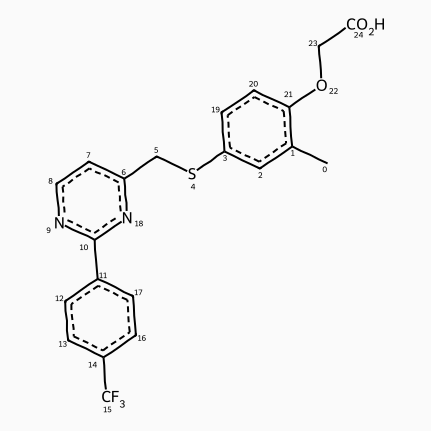 Cc1cc(SCc2ccnc(-c3ccc(C(F)(F)F)cc3)n2)ccc1OCC(=O)O